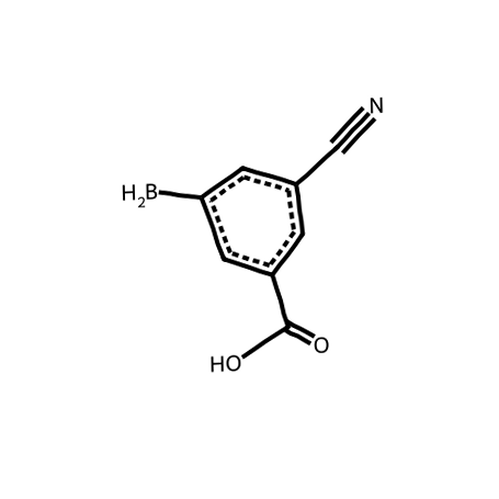 Bc1cc(C#N)cc(C(=O)O)c1